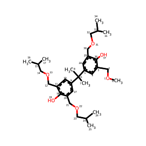 COCc1cc(C(C)(C)c2cc(COCC(C)C)c(O)c(COCC(C)C)c2)cc(COCC(C)C)c1O